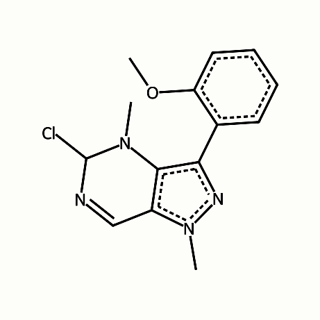 COc1ccccc1-c1nn(C)c2c1N(C)C(Cl)N=C2